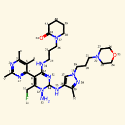 Cc1nc(C)c(C)c(C2=C(CF)N(N)C(Nc3cn(CCCN4CCOCC4)nc3C)N=C2NCCCN2CCCCC2=O)n1